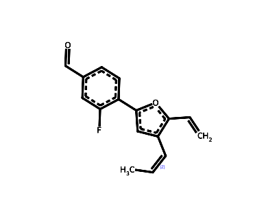 C=Cc1oc(-c2ccc(C=O)cc2F)cc1/C=C\C